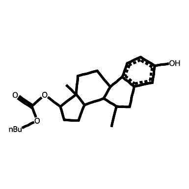 CCCCOC(=O)OC1CCC2C3C(C)Cc4cc(O)ccc4C3CCC12C